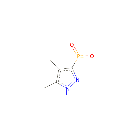 Cc1[nH]nc(P(=O)=O)c1C